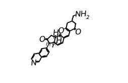 C[C@]12C=CC3=CC4=C(CC(CN)CC4=O)O[C@H]3[C@@H]1CC(=O)[C@@H]2c1ccc2cnccc2c1